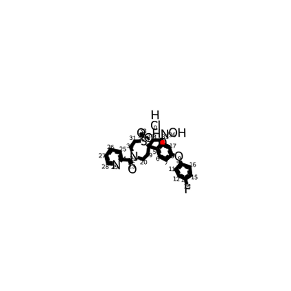 Cl.O=C(CC1(c2ccc(Oc3ccc(F)cc3)cc2)CCN(C(=O)c2ccccn2)CCS1(=O)=O)NO